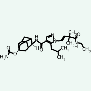 CCNC(=O)C(C)(C)/C=C/n1ncc(C(=O)N[C@H]2C3CC4CC2C[C@](OC(N)=O)(C4)C3)c1CC(C)C